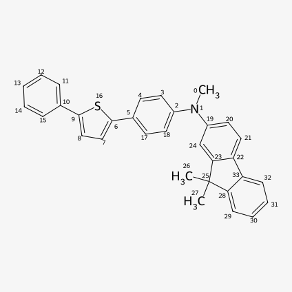 CN(c1ccc(-c2ccc(-c3ccccc3)s2)cc1)c1ccc2c(c1)C(C)(C)c1ccccc1-2